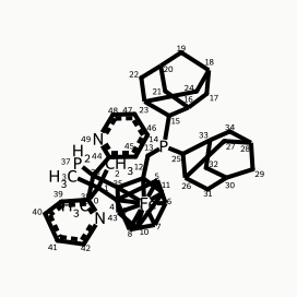 CC(C)(C)[C]12[CH]3[CH]4[CH]5[CH]1[Fe]45321678[CH]2[CH]1[C]6(CP(C1C3CC4CC(C3)CC1C4)C1C3CC4CC(C3)CC1C4)[C]7(C(P)(c1ccccn1)c1ccccn1)[CH]28